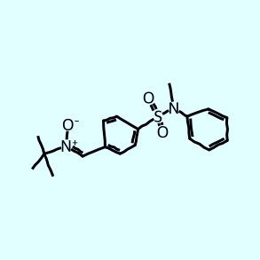 CN(c1ccccc1)S(=O)(=O)c1ccc(C=[N+]([O-])C(C)(C)C)cc1